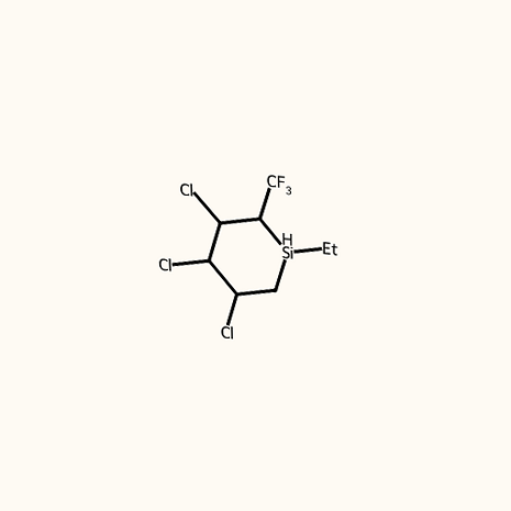 CC[SiH]1CC(Cl)C(Cl)C(Cl)C1C(F)(F)F